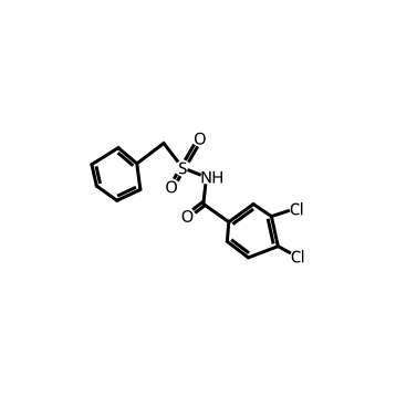 O=C(NS(=O)(=O)Cc1ccccc1)c1ccc(Cl)c(Cl)c1